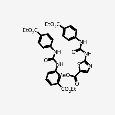 CCOC(=O)c1ccc(NC(=O)Nc2cccc(C(=O)OCC)c2)cc1.CCOC(=O)c1ccc(NC(=O)Nc2ncc(C(=O)OC)s2)cc1